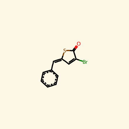 O=C1SC(=Cc2ccccc2)C=C1Br